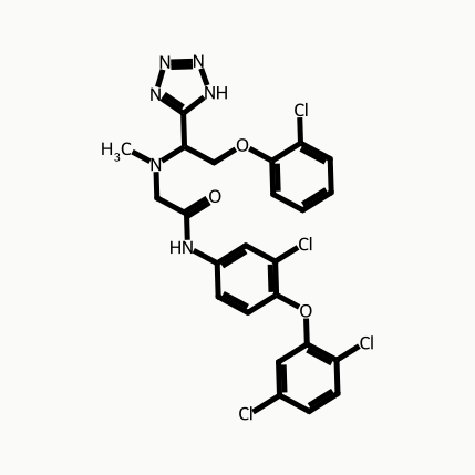 CN(CC(=O)Nc1ccc(Oc2cc(Cl)ccc2Cl)c(Cl)c1)C(COc1ccccc1Cl)c1nnn[nH]1